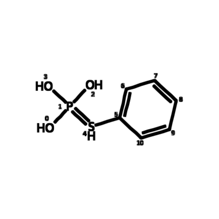 OP(O)(O)=[SH]c1ccccc1